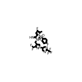 Cc1c(F)cc(C(=N)NCc2cn(-c3cnc(C(F)(F)F)nc3)nc2C(F)F)n1S(=O)(=O)c1ccc(F)cc1